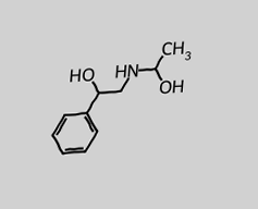 CC(O)NCC(O)c1ccccc1